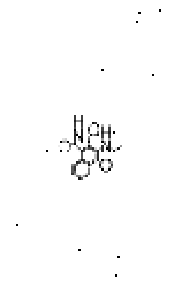 CCNc1c2c(c3ccccc3c1OC)C(=O)NC2=O